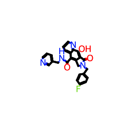 O=C(NCc1cccnc1)c1c2c(c(O)c3ncccc13)C(=O)N(Cc1ccc(F)cc1)C2